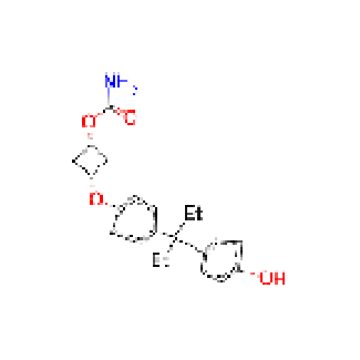 CCC(CC)(c1ccc(O)cc1)c1ccc(O[C@H]2C[C@@H](OC(N)=O)C2)cc1